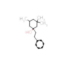 CC1CC(C)(C)CC(O)(CCc2ccccc2)C1